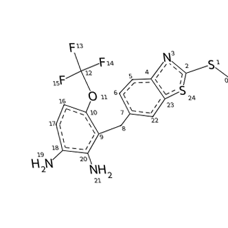 CSc1nc2ccc(Cc3c(OC(F)(F)F)ccc(N)c3N)cc2s1